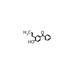 CC=Cc1cc(C(=O)c2ccccc2)ccc1O